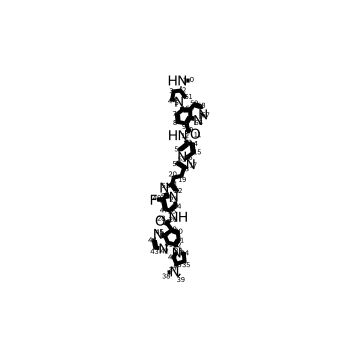 CN[C@H]1CCN(c2ccc(C(=O)Nc3ccc4nc(CCc5cn6cc(NC(=O)c7ccc(N8CCC(N(C)C)C8)c8nccnc78)cc(F)c6n5)cn4c3)c3nnccc23)C1